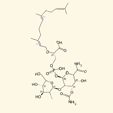 CC(C)=CCC/C(C)=C/CC/C(C)=C\CO[C@@H](COP(=O)(O)O[C@H]1OC(C(N)=O)[C@H](O)[C@H](OC(N)=O)C1O[C@@H]1OC(CO)[C@@H](O)[C@H](O)C1C)C(=O)O